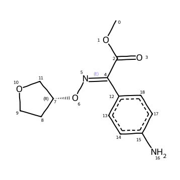 COC(=O)/C(=N/O[C@@H]1CCOC1)c1ccc(N)cc1